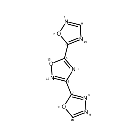 [c]1noc(-c2nc(-c3nnco3)no2)n1